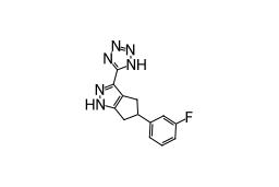 Fc1cccc(C2Cc3[nH]nc(-c4nnn[nH]4)c3C2)c1